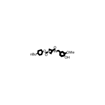 CCCC[C@H]1CC[C@H](OC(=O)N2CC(C(=O)NCc3ccc(O)c(OC)c3)C2)CC1